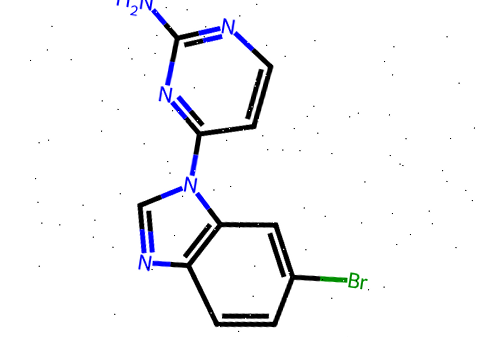 Nc1nccc(-n2cnc3ccc(Br)cc32)n1